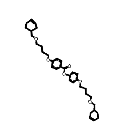 O=C(Oc1ccc(OCCCCOCC2CC=CCC2)cc1)c1ccc(OCCCCOCC2CC=CCC2)cc1